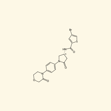 O=C(N[C@@H]1CC(=O)N(c2ccc(N3CCOCC3=O)cc2)C1)c1cc(Br)cs1